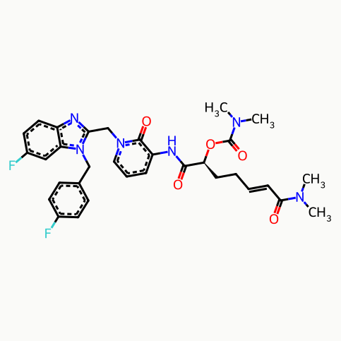 CN(C)C(=O)/C=C/CC[C@H](OC(=O)N(C)C)C(=O)Nc1cccn(Cc2nc3ccc(F)cc3n2Cc2ccc(F)cc2)c1=O